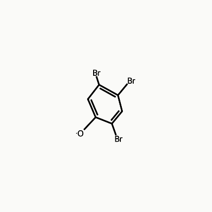 [O]c1cc(Br)c(Br)cc1Br